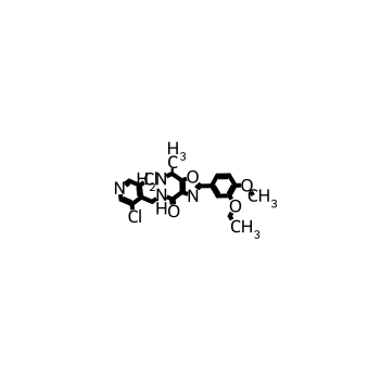 CCOc1cc(-c2nc(C(=O)NCc3c(Cl)cncc3Cl)c([C@H](C)N)o2)ccc1OC